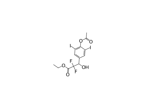 CCOC(=O)C(F)(F)C(O)c1cc(I)c(OC(C)=O)c(I)c1